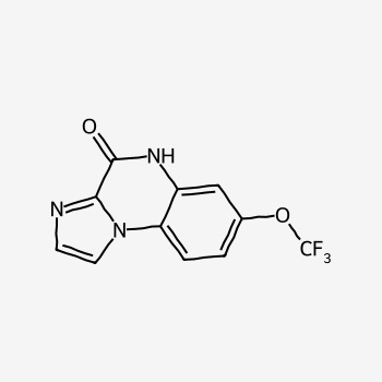 O=c1[nH]c2cc(OC(F)(F)F)ccc2n2ccnc12